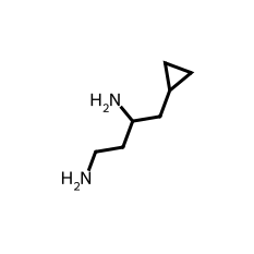 NCCC(N)CC1CC1